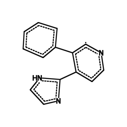 [c]1nccc(-c2ncc[nH]2)c1-c1ccccc1